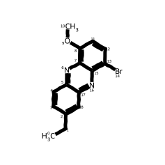 CCc1ccc2nc3c(OC)ccc(Br)c3nc2c1